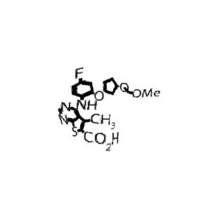 COCO[C@H]1CC[C@H](Oc2cc(F)ccc2Nc2ncnc3sc(C(=O)O)c(C)c23)C1